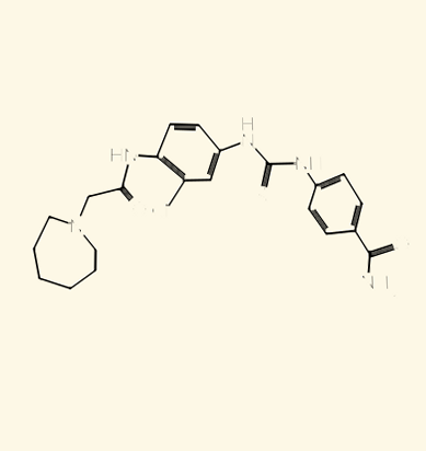 NC(=O)c1ccc(NC(=S)Nc2ccc(NC(=O)CN3CCCCCC3)c(Cl)c2)cc1